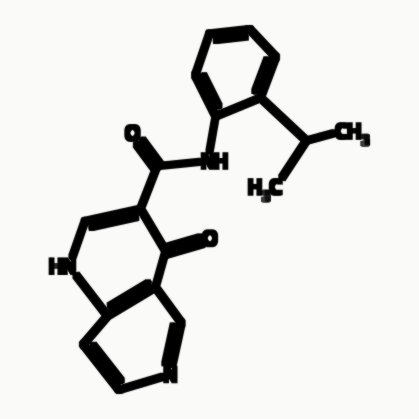 CC(C)c1ccccc1NC(=O)c1c[nH]c2ccncc2c1=O